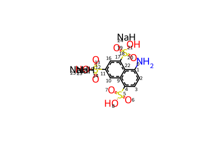 Nc1ccc(S(=O)(=O)O)c2cc(S(=O)(=O)O)cc(S(=O)(=O)O)c12.[NaH].[NaH].[NaH]